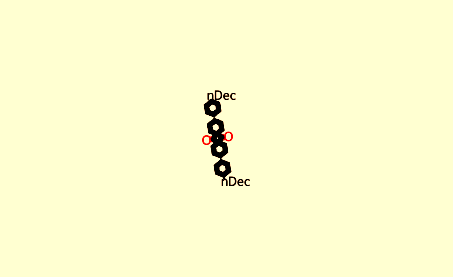 CCCCCCCCCC[C@H]1CC[C@H](C2CCC3(CC2)C(=O)C2(CCC([C@H]4CC[C@H](CCCCCCCCCC)CC4)CC2)C3=O)CC1